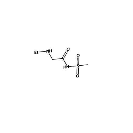 CCNCC(=O)NS(C)(=O)=O